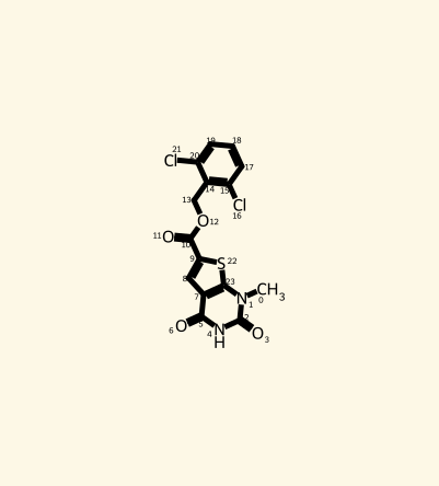 Cn1c(=O)[nH]c(=O)c2cc(C(=O)OCc3c(Cl)cccc3Cl)sc21